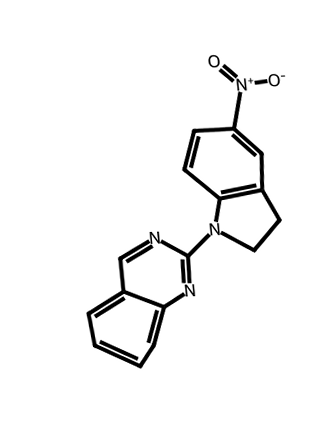 O=[N+]([O-])c1ccc2c(c1)CCN2c1ncc2ccccc2n1